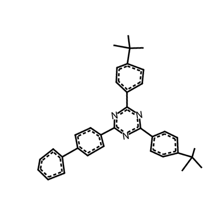 CC(C)(C)c1ccc(-c2nc(-c3ccc(-c4ccccc4)cc3)nc(-c3ccc(C(C)(C)C)cc3)n2)cc1